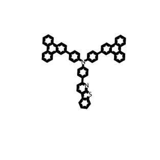 c1ccc2c(c1)sc1nc(-c3ccc(N(c4ccc(-c5ccc6c7ccccc7c7ccccc7c6c5)cc4)c4ccc(-c5ccc6c7ccccc7c7ccccc7c6c5)cc4)cc3)ccc12